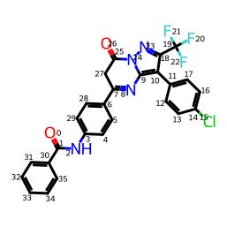 O=C(Nc1ccc(C2=Nc3c(-c4ccc(Cl)cc4)c(C(F)(F)F)nn3C(=O)C2)cc1)c1ccccc1